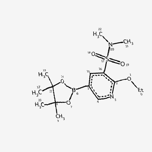 CCOc1ncc(B2OC(C)(C)C(C)(C)O2)cc1S(=O)(=O)N(C)C